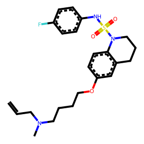 C=CCN(C)CCCCOc1ccc2c(c1)CCCN2S(=O)(=O)Nc1ccc(F)cc1